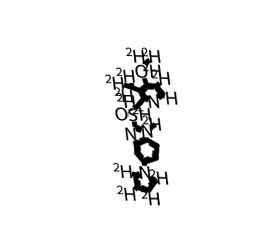 [2H]c1nc(C([2H])([2H])[S+]([O-])c2nc3cc(-n4c([2H])c([2H])c([2H])c4[2H])ccc3n2[2H])c(C([2H])([2H])[2H])c(OC([2H])([2H])[2H])c1[2H]